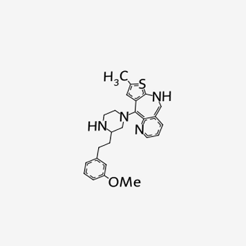 COc1cccc(CCC2CN(C3=c4ncccc4=CNc4sc(C)cc43)CCN2)c1